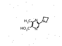 Cc1nc(N2CCC2)cnc1C(=O)O